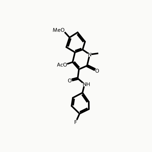 COc1ccc2c(c1)c(OC(C)=O)c(C(=O)Nc1ccc(F)cc1)c(=O)n2C